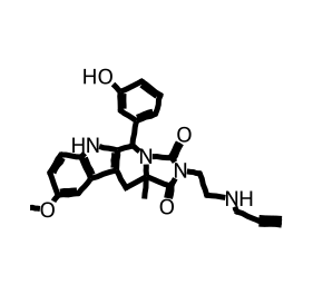 C#CCNCCN1C(=O)N2C(c3cccc(O)c3)c3[nH]c4ccc(OC)cc4c3CC2(C)C1=O